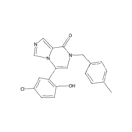 Cc1ccc(Cn2cc(-c3cc(Cl)ccc3O)n3cncc3c2=O)cc1